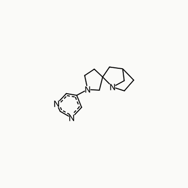 c1ncc(N2CCC3(CC4CCN3C4)C2)cn1